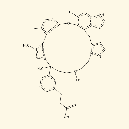 Cn1nc2nc1-c1cc(ccc1F)Oc1c(F)cc3[nH]ccc3c1Cc1ccnn1CC[S+]([O-])CCC2(C)c1cccc(CCC(=O)O)c1